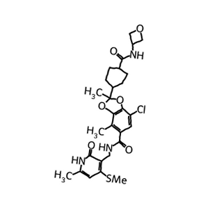 CSc1cc(C)[nH]c(=O)c1CNC(=O)c1cc(Cl)c2c(c1C)OC(C)(C1CCC(C(=O)NC3COC3)CC1)O2